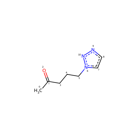 CC(=O)CCCn1ccnn1